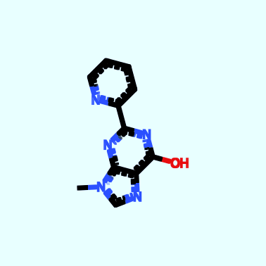 Cn1cnc2c(O)nc(-c3ccccn3)nc21